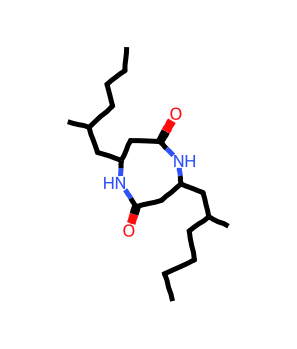 CCCCC(C)CC1CC(=O)NC(CC(C)CCCC)CC(=O)N1